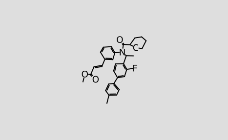 COC(=O)/C=C/c1cccc(N(C(=O)C2CCCCC2)C(C)c2ccc(-c3ccc(C)cc3)cc2F)c1